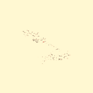 CC[C@H](C)[C@@H]([C@@H](CC(=O)N1CCC[C@H]1[C@H](OC)[C@@H](C)C(=O)N[C@@H](Cc1ccccc1)C(=O)O)OC)N(C)C(=O)[C@@H](NC(=O)[C@H](C(C)C)N(C)C(=O)CCCCCNC(=O)CSCCNC(=O)CCNC(=O)[C@H](O)C(C)(C)COP(=O)(O)OP(=O)(O)OC[C@@H]1O[C@H](n2cnc3c(N)ncnc32)[C@@H](O)[C@H]1OP(=O)(O)O)C(C)C